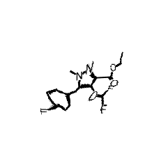 CCOC(=O)c1nn(C)c(-c2ccc(F)cc2)c1OC(F)F